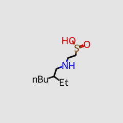 CCCCC(CC)CNCCS(=O)O